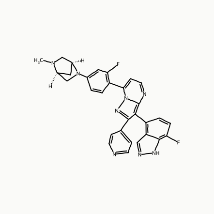 CN1C[C@@H]2C[C@H]1CN2c1ccc(-c2ccnc3c(-c4ccc(F)c5[nH]ncc45)c(-c4ccncc4)nn23)c(F)c1